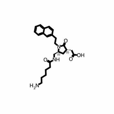 NCCCCCC(=O)NC[C@@H]1C[C@@H](CC(=O)O)C(=O)N1CCc1ccc2ccccc2c1